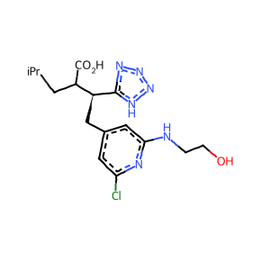 CC(C)CC(C(=O)O)[C@H](Cc1cc(Cl)nc(NCCO)c1)c1nnn[nH]1